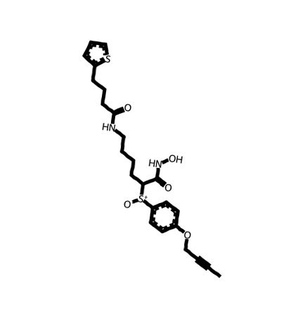 CC#CCOc1ccc([S+]([O-])C(CCCCNC(=O)CCCc2cccs2)C(=O)NO)cc1